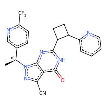 C[C@@H](c1ccc(C(F)(F)F)nc1)n1nc(C#N)c2c(=O)[nH]c(C3CCC3c3ccccn3)nc21